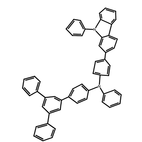 c1ccc(-c2cc(-c3ccccc3)cc(-c3ccc(N(c4ccccc4)c4ccc(-c5ccc6c7ccccc7n(-c7ccccc7)c6c5)cc4)cc3)c2)cc1